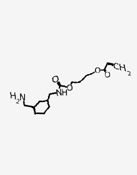 C=CC(=O)OCCCCOC(=O)NCC1CCCC(CN)C1